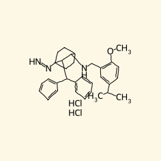 COc1ccc(C(C)C)cc1CNC1C2CCC(N=N)(CC2)C1C(c1ccccc1)c1ccccc1.Cl.Cl